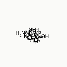 NNc1nc(N)nc2ccc(-c3cccc(CCO)c3C(N)=O)cc12